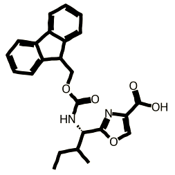 CCC(C)[C@H](NC(=O)OCC1c2ccccc2-c2ccccc21)c1nc(C(=O)O)co1